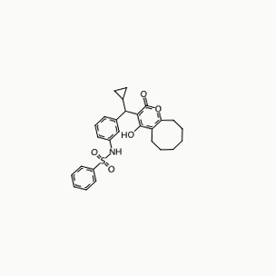 O=c1oc2c(c(O)c1C(c1cccc(NS(=O)(=O)c3ccccc3)c1)C1CC1)CCCCCC2